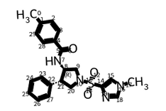 Cc1ccc(C(=O)N[C@H]2CN(S(=O)(=O)c3cn(C)cn3)C[C@@H]2c2ccccc2)cc1